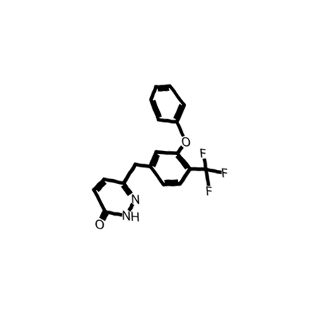 O=c1ccc(Cc2ccc(C(F)(F)F)c(Oc3ccccc3)c2)n[nH]1